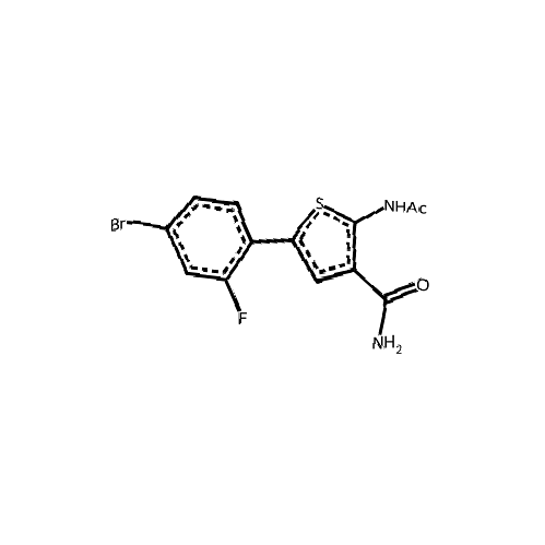 CC(=O)Nc1sc(-c2ccc(Br)cc2F)cc1C(N)=O